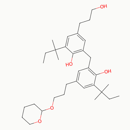 CCC(C)(C)c1cc(CCCO)cc(Cc2cc(CCCOC3CCCCO3)cc(C(C)(C)CC)c2O)c1O